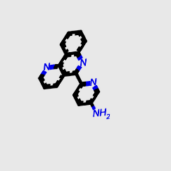 Nc1ccc(-c2nc3ccccc3c3ncccc23)nc1